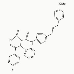 COc1ccc(COCc2ccc(NC(=O)C(C(=O)C(C)C)C(C(=O)c3ccc(F)cc3)c3ccccc3)cc2)cc1